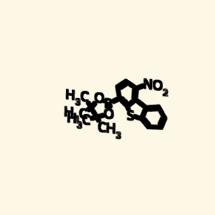 CC1(C)OB(c2ccc([N+](=O)[O-])c3c2sc2ccccc23)OC1(C)C